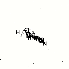 CC(C)c1ccc2c(C(=O)N[C@H]3CCN(c4ccc(C#N)nn4)C3)ncn2c1